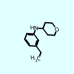 CCc1cccc(NC2CCOCC2)c1